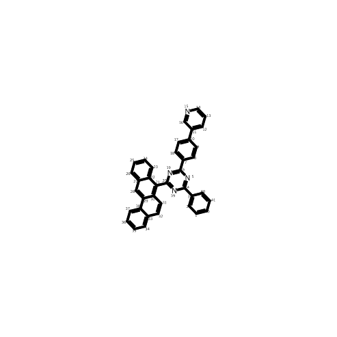 c1ccc(-c2nc(-c3ccc(-c4cccnc4)cc3)nc(-c3c4ccccc4cc4c3ccc3ccccc34)n2)cc1